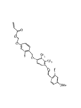 C=CC(=O)OCOc1ccc(COc2ccc(OCc3ccc(OC)cc3F)c(C(F)(F)F)c2C(F)(F)F)c(F)c1